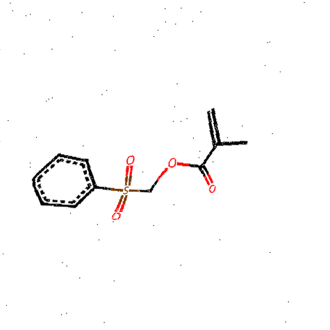 C=C(C)C(=O)OCS(=O)(=O)c1ccccc1